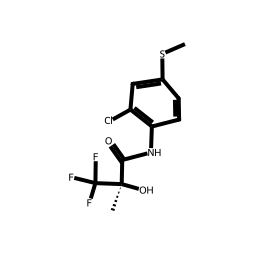 CSc1ccc(NC(=O)[C@@](C)(O)C(F)(F)F)c(Cl)c1